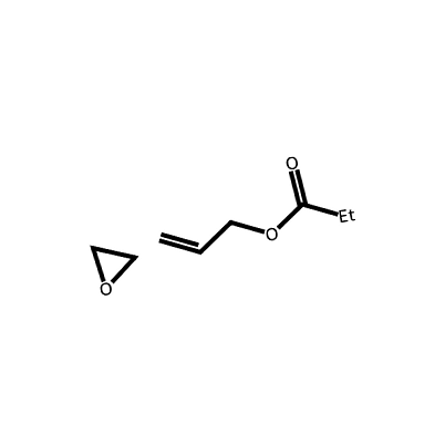 C1CO1.C=CCOC(=O)CC